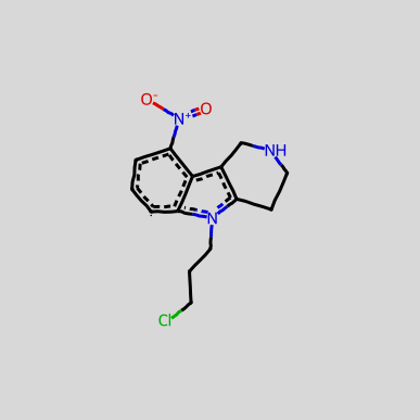 O=[N+]([O-])c1cc[c]c2c1c1c(n2CCCCl)CCNC1